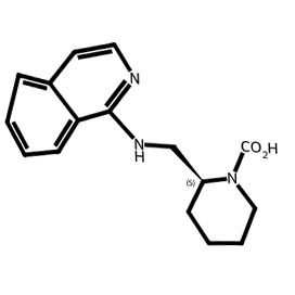 O=C(O)N1CCCC[C@H]1CNc1nccc2ccccc12